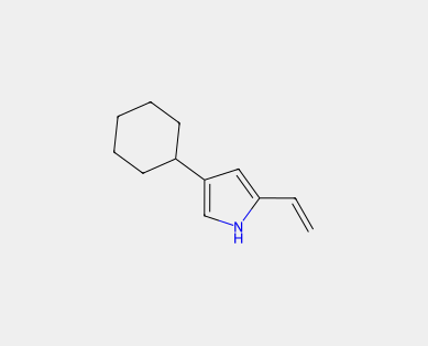 C=Cc1cc(C2CCCCC2)c[nH]1